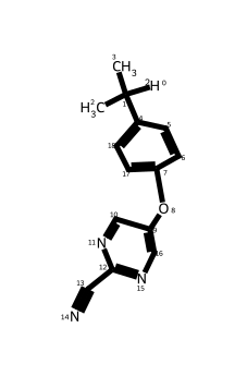 [2H]C(C)(C)c1ccc(Oc2cnc(C#N)nc2)cc1